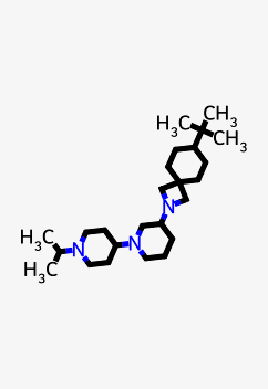 CC(C)N1CCC(N2CCCC(N3CC4(CCC(C(C)(C)C)CC4)C3)C2)CC1